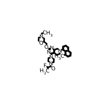 C=C(F)C(=O)N1CCN(c2nc(OCC3CN(CC)CCO3)nc3c2CCN(c2cccc4cccc(C)c24)C3)CC1